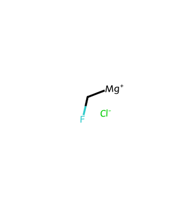 F[CH2][Mg+].[Cl-]